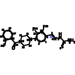 NC(=S)N/N=C/c1ccc(N2CCN(C(=O)c3ccccc3F)CC2)c(F)c1F